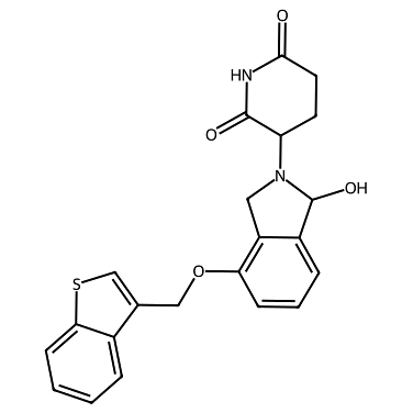 O=C1CCC(N2Cc3c(OCc4csc5ccccc45)cccc3C2O)C(=O)N1